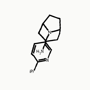 CC(C)c1ccc(N2C3CCC2CC(N)C3)cn1